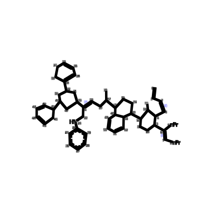 C=C/C=C\C1C(/C(=C/CCC)CCC)CCC(C2CCC(C(C)C/C=C(\CNc3ccccc3)C3CC(C4=CC=CCC4)CC(C4C=CC=CC4)C3)C3C=CC=CC32)C1C